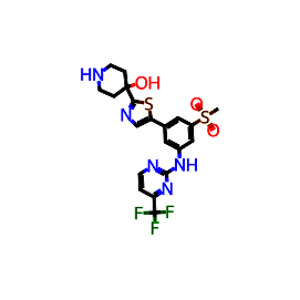 CS(=O)(=O)c1cc(Nc2nccc(C(F)(F)F)n2)cc(-c2cnc(C3(O)CCNCC3)s2)c1